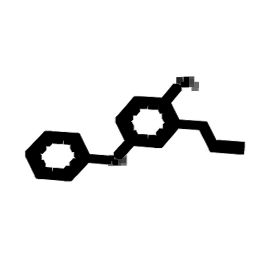 C=CCc1cc(Nc2ccccc2)ccc1N